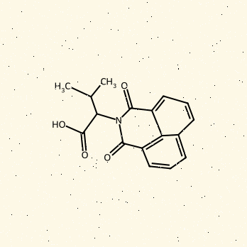 CC(C)C(C(=O)O)N1C(=O)c2cccc3cccc(c23)C1=O